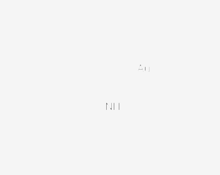 [Au][c]1ccc[nH]1